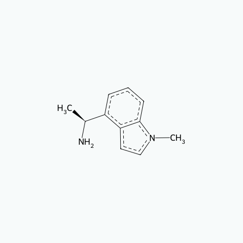 C[C@H](N)c1cccc2c1ccn2C